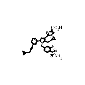 NS(=O)(=O)c1ccc(Cn2c(-c3cccc(C#CCC4CC4)c3)cc(-c3nc(C(=O)O)cs3)c2CC2CC2)cc1F